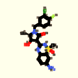 CC(C)(C)[C@H]1C(O)C(C2=Nc3ccc(N)cc3S(C)(=O)=N2)C(=O)N1Cc1ccc(F)c(Cl)c1